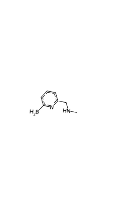 Bc1cccc(CNC)n1